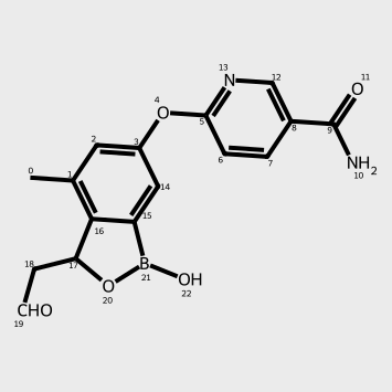 Cc1cc(Oc2ccc(C(N)=O)cn2)cc2c1C(CC=O)OB2O